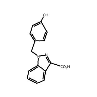 O=C(O)c1nn(Cc2ccc(O)cc2)c2ccccc12